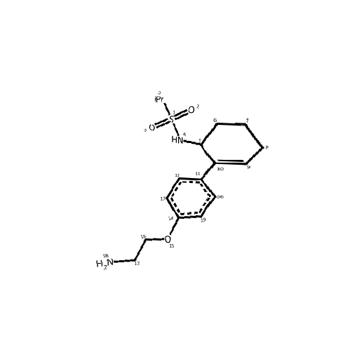 CC(C)S(=O)(=O)NC1CCCC=C1c1ccc(OCCN)cc1